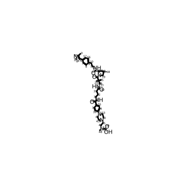 Cc1ncsc1-c1ccc(CCNC(=O)[C@@H]2C[C@@H](C)CN2C(=O)C(C)(C)[C@H](C)NC(=O)CCCNC(=O)c2ccc(N3CCN(CCN(C)C(=O)O)CC3)cc2)cc1